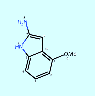 COc1cccc2[nH]c(N)cc12